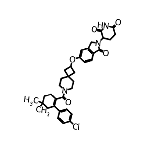 CC1(C)CCC(C(=O)N2CCC3(CC2)CC(Oc2ccc4c(c2)CN(C2CCC(=O)NC2=O)C4=O)C3)=C(c2ccc(Cl)cc2)C1